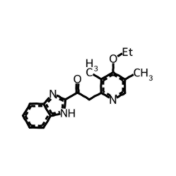 CCOc1c(C)cnc(CC(=O)c2nc3ccccc3[nH]2)c1C